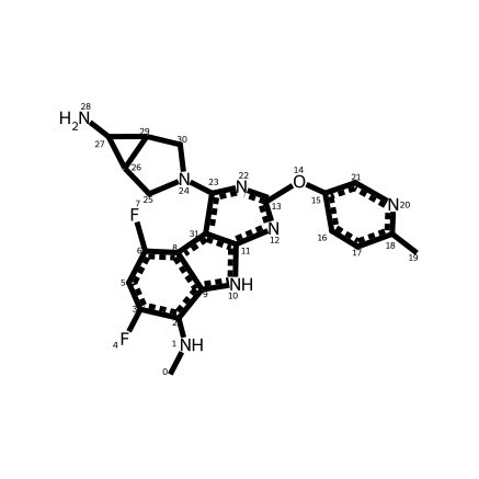 CNc1c(F)cc(F)c2c1[nH]c1nc(Oc3ccc(C)nc3)nc(N3CC4C(N)C4C3)c12